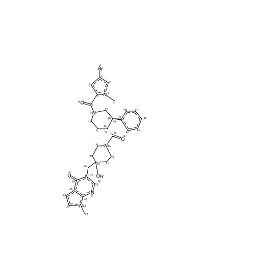 Cn1cc(Br)cc1C(=O)N1CC[C@@H](C(=O)N2CCC(O)(Cn3cnc4c(ccn4C)c3=O)CC2)[C@H](c2ccccc2)C1